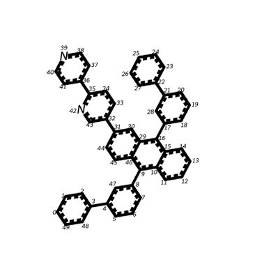 c1ccc(-c2cccc(-c3c4ccccc4c(-c4cccc(-c5ccccc5)c4)c4cc(-c5ccc(-c6ccncc6)nc5)ccc34)c2)cc1